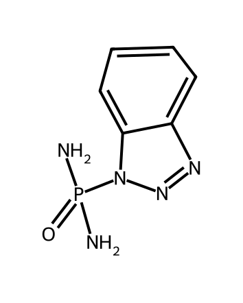 NP(N)(=O)n1nnc2ccccc21